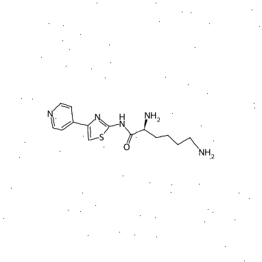 NCCCC[C@H](N)C(=O)Nc1nc(-c2ccncc2)cs1